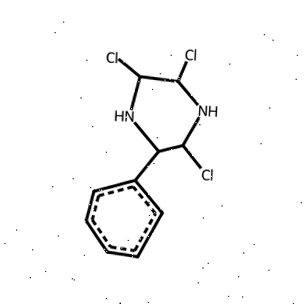 ClC1NC(Cl)C(c2ccccc2)NC1Cl